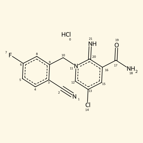 Cl.N#Cc1ccc(F)cc1Cn1cc(Cl)cc(C(N)=O)c1=N